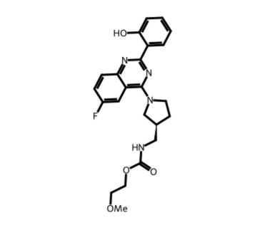 COCCOC(=O)NC[C@@H]1CCN(c2nc(-c3ccccc3O)nc3ccc(F)cc23)C1